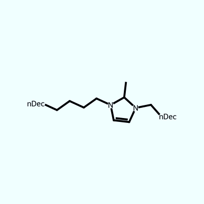 CCCCCCCCCCCCCCN1C=CN(CCCCCCCCCCC)C1C